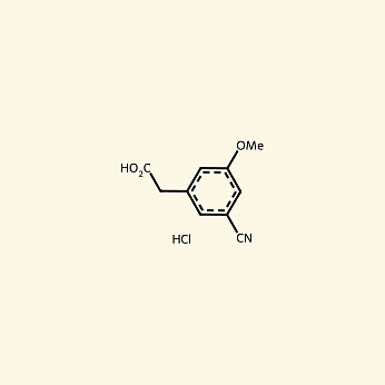 COc1cc(C#N)cc(CC(=O)O)c1.Cl